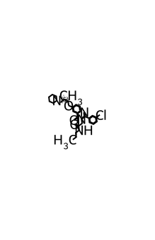 CCCNC(=O)Cn1c(-c2cccc(Cl)c2)nc2ccc(OC[C@@H](C)CN3CCCCC3)cc2c1=O